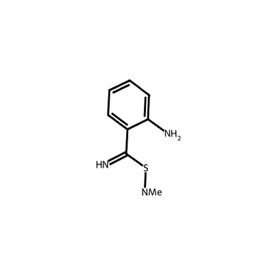 CNSC(=N)c1ccccc1N